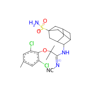 Cc1cc(Cl)c(OC(C)(C)/C(=N\C#N)NC2C3CC4CC2CC(S(N)(=O)=O)(C4)C3)c(Cl)c1